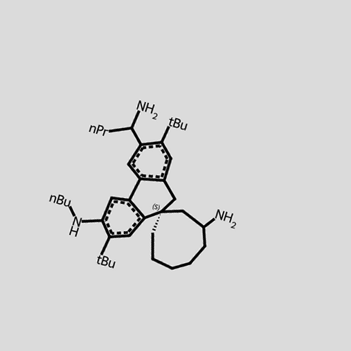 CCCCNc1cc2c(cc1C(C)(C)C)[C@@]1(CCCCCC(N)C1)Cc1cc(C(C)(C)C)c(C(N)CCC)cc1-2